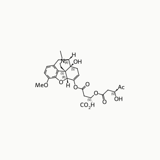 COc1ccc2c3c1O[C@H]1C(OC(=O)C[C@H](OC(=O)C[C@H](O)C(C)=O)C(=O)O)=CC[C@@]4(O)[C@@H](C2)N(C)CC[C@]314